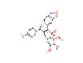 COc1ccc(C(=O)/C(Cc2cc(OC)c(OC)c(OC)c2)=C(/C(=O)O)c2ccc3nonc3c2)cc1